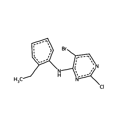 CCc1ccccc1Nc1nc(Cl)ncc1Br